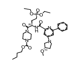 CCCCOC(=O)N1CCN(C(=O)[C@@H](CCP(=O)(OCC)OCC)NC(=O)c2cc(N3CC[C@H](OC)C3)cc(-c3ccccc3)n2)CC1